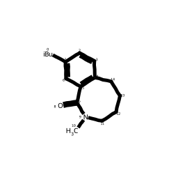 CCC(C)c1ccc2c(c1)C(=O)N(C)CCCC2